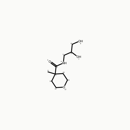 CC1(C(=O)NCC(O)CO)CCOCC1